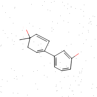 CC1(O)C=CC(c2cccc(O)c2)=CC1